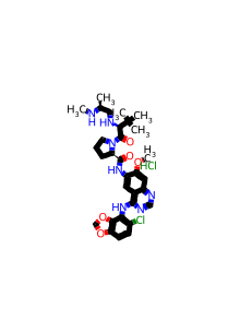 CN[C@@H](C)CN[C@H](C(=O)N1CCC[C@H]1C(=O)Nc1cc2c(Nc3c(Cl)ccc4c3OCO4)ncnc2cc1OC)C(C)(C)C.Cl